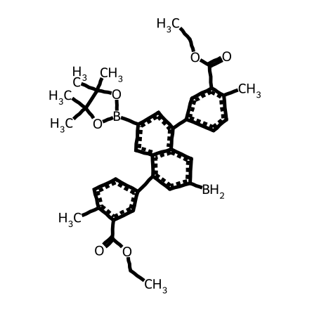 Bc1cc(-c2ccc(C)c(C(=O)OCC)c2)c2cc(B3OC(C)(C)C(C)(C)O3)cc(-c3ccc(C)c(C(=O)OCC)c3)c2c1